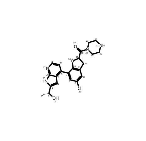 C[C@@H](O)c1cc2c(-c3cc(Cl)cc4c3OC(C(=O)N3CCNCC3)C4)ccnc2[nH]1